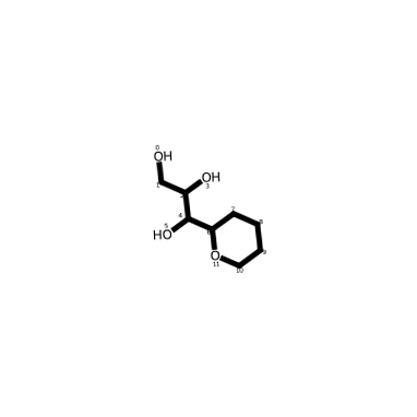 OCC(O)C(O)C1CCCCO1